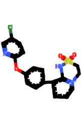 O=S1(=O)CC[n+]2cccc(-c3ccc(Oc4ccc(Cl)cn4)cc3)c2N1